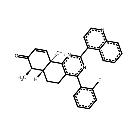 C[C@H]1C(=O)C=C[C@@]2(C)c3nc(-c4ccnc5ccccc45)nc(-c4ccccc4F)c3CC[C@H]12